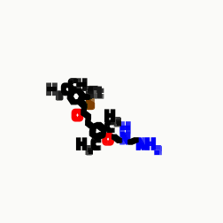 CCc1sc(C(=O)CCc2cc(C)c(OCCNCCN)c(C)c2)c2c1CC(C)(C)CC2